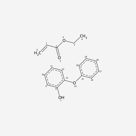 C=CC(=O)OCC.Oc1ccccc1Oc1ccccc1